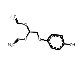 C=COC(COc1ccc(O)cc1)OC=C